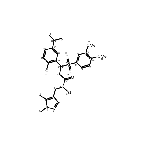 CCN(Cc1cnn(C)c1C)C(=O)CN(c1cc(N(C)C)ccc1Cl)S(=O)(=O)c1ccc(OC)c(OC)c1